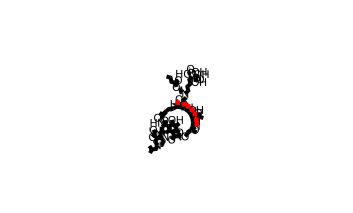 CCCC(=O)OCCN(CCCCC(P(=O)(O)O)P(=O)(O)O)CC(=O)O[C@@H]1[C@@H](C)[C@@H](O)[C@@H](C)[C@H](OC(C)=O)[C@H](C)[C@@H](OC)/C=C/O[C@@]2(C)Oc3c(C)c(O)c4c(c3C2=O)C2=NC3(CCN(CC(C)C)CC3)N(C(=O)OC)C2=C(NC(=O)/C(C)=C\C=C\[C@@H]1C)C4=O